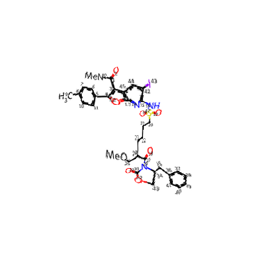 CNC(=O)c1c(-c2ccc(C)cc2)oc2nc(NS(=O)(=O)CCCC[C@H](COC)C(=O)N3C(=O)OC[C@@H]3Cc3ccccc3)c(I)cc12